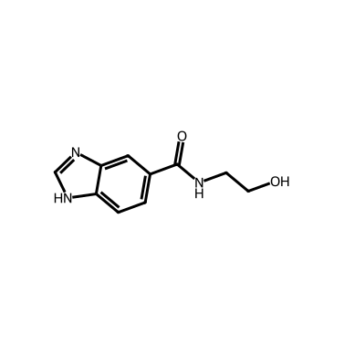 O=C(NCCO)c1ccc2[nH]cnc2c1